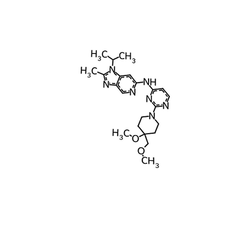 COCC1(OC)CCN(c2nccc(Nc3cc4c(cn3)nc(C)n4C(C)C)n2)CC1